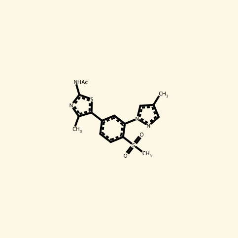 CC(=O)Nc1nc(C)c(-c2ccc(S(C)(=O)=O)c(-n3cc(C)cn3)c2)s1